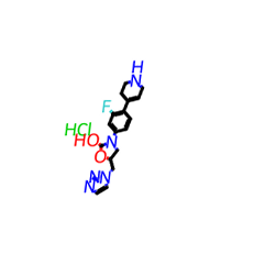 Cl.OC1OC(Cn2ccnn2)CN1c1ccc(C2=CCNCC2)c(F)c1